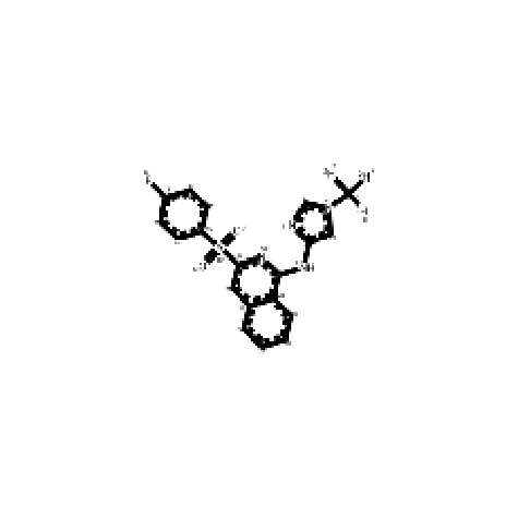 [2H]C([2H])([2H])n1cnc(Nc2nc(S(=O)(=O)c3ccc(F)cc3)cc3ccccc23)c1